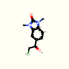 Cn1c(=O)n(C)c2cc(C(=O)CCl)ccc21